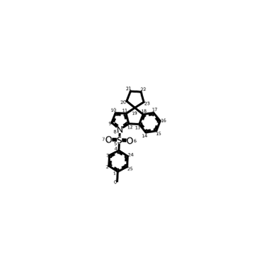 Cc1ccc(S(=O)(=O)n2ccc3c2-c2ccccc2C32CCCC2)cc1